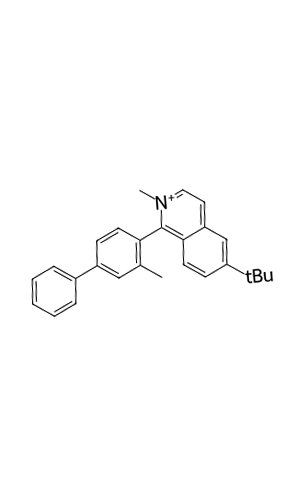 Cc1cc(-c2ccccc2)ccc1-c1c2ccc(C(C)(C)C)cc2cc[n+]1C